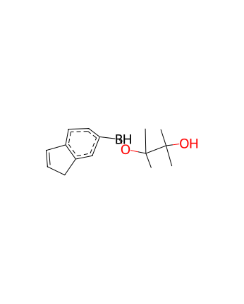 CC(C)(O)C(C)(C)OBc1ccc2c(c1)CC=C2